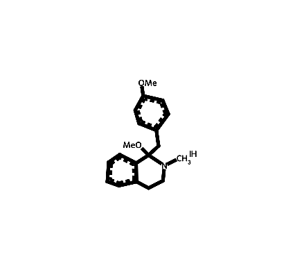 COc1ccc(CC2(OC)c3ccccc3CCN2C)cc1.I